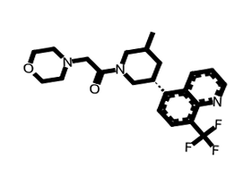 CC1C[C@H](c2ccc(C(F)(F)F)c3ncccc23)CN(C(=O)CN2CCOCC2)C1